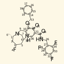 C[C@H]1CC(F)C[C@H]2CN1Cc1c(OCc3ccccc3)c(=O)c(C(=O)NCc3c(F)cc(F)cc3F)cn12